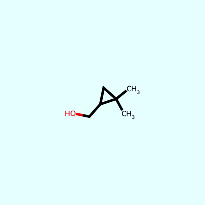 CC1(C)CC1CO